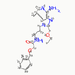 CCOCc1nc2c(N)nc(C)c(C)c2n1CCCNC(=O)COCc1ccccc1